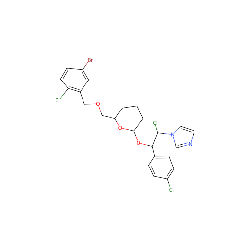 Clc1ccc(C(OC2CCCC(COCc3cc(Br)ccc3Cl)O2)C(Cl)n2ccnc2)cc1